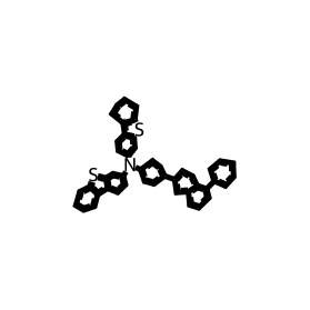 c1ccc(-c2cccc3cc(-c4ccc(N(c5ccc6c(c5)sc5ccccc56)c5ccc6c(c5)sc5ccccc56)cc4)ccc23)cc1